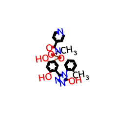 Cc1ccccc1-n1c(O)nnc1-c1cc(S(=O)(=O)N(C)C(=O)c2ccncc2)c(O)cc1O